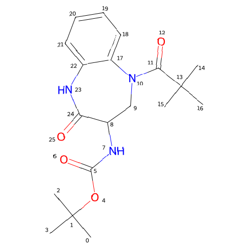 CC(C)(C)OC(=O)NC1CN(C(=O)C(C)(C)C)c2ccccc2NC1=O